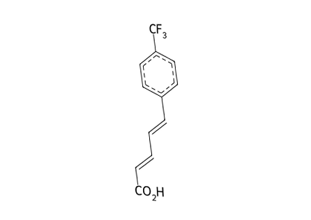 O=C(O)/C=C/C=C/c1ccc(C(F)(F)F)cc1